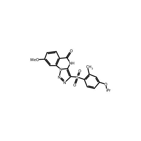 COc1ccc2c(=O)[nH]c3c(S(=O)(=O)c4ccc(OC(C)C)cc4C)nnn3c2c1